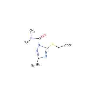 CN(C)C(=O)n1nc(C(C)(C)C)nc1SCC(=O)[O-].[Na+]